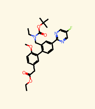 CCOC(=O)Cc1ccc(OC)c(-c2ccc(-c3ncc(F)cn3)cc2CN(CC)C(=O)OC(C)(C)C)c1